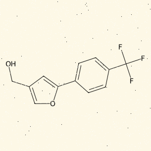 OCc1coc(-c2ccc(C(F)(F)F)cc2)c1